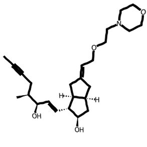 CC#CC[C@H](C)[C@H](O)C=C[C@@H]1[C@H]2CC(=CCOCCN3CCOCC3)C[C@H]2C[C@H]1O